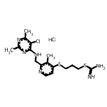 Cc1nc(C)c(Cl)c(NCc2nccc(SCCCSC(=N)N)c2C)n1.Cl